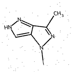 Cc1nn(I)c2c[nH]nc12